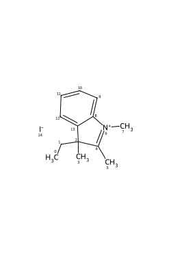 CCC1(C)C(C)=[N+](C)c2ccccc21.[I-]